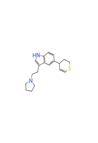 C1=CC(c2ccc3[nH]cc(CCN4CCCC4)c3c2)CCS1